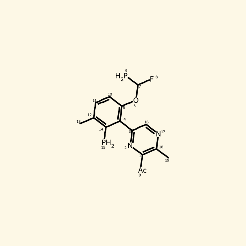 CC(=O)c1nc(-c2c(OC(F)P)ccc(C)c2P)cnc1C